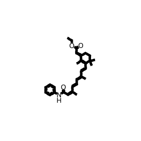 CCOC(=O)/C=C1\CCC(C)(C)C(/C=C/C(C)=C/C=C/C(C)=C\C(=O)Nc2ccccc2)=C1C